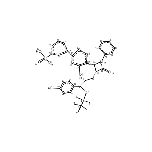 CC(C)(C)[Si](C)(C)O[C@@H](CC[C@H]1C(=O)N(c2ccccc2)[C@@H]1c1ccc(-c2cccc(P(=O)(O)O)c2)cc1O)c1ccc(F)cc1